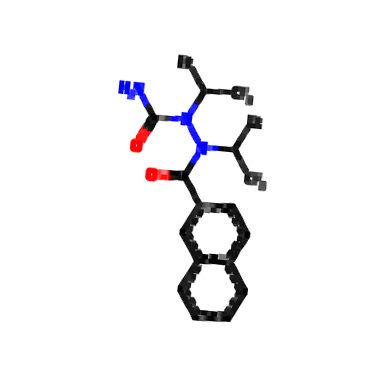 CCC(N(C(N)=O)N(C(=O)c1ccc2ccccc2c1)C(CC)C(F)(F)F)C(F)(F)F